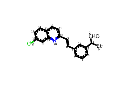 C[CH]C(C=O)c1cccc(C=Cc2ccc3ccc(Cl)cc3n2)c1